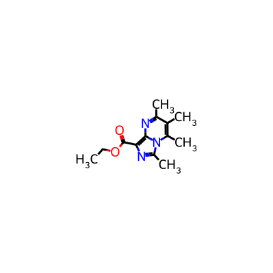 CCOC(=O)c1nc(C)n2c(C)c(C)c(C)nc12